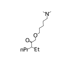 CCCC(CC)C(=O)COCCCCCN(C)C